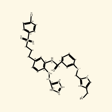 CC(C)Cc1csc(CSc2cccc(C(=O)Nc3cc(CCCS(=O)(=O)c4ccc(Cl)cc4)ccc3OCc3nnn[nH]3)c2)n1